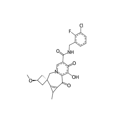 CO[C@H]1C[C@@]2(Cn3cc(C(=O)NCc4cccc(Cl)c4F)c(=O)c(O)c3C(=O)C3=C2C3C)C1